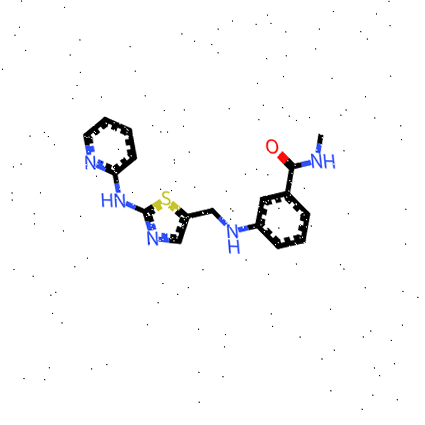 CNC(=O)c1cccc(NCc2cnc(Nc3ccccn3)s2)c1